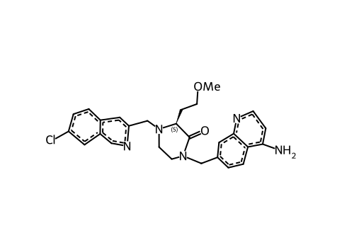 COCC[C@H]1C(=O)N(Cc2ccc3c(N)ccnc3c2)CCN1Cc1cc2ccc(Cl)cc2cn1